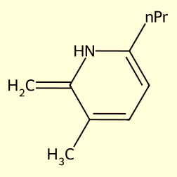 C=C1NC(CCC)=CC=C1C